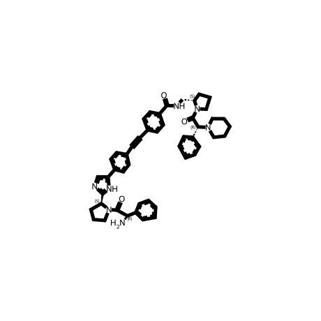 N[C@@H](C(=O)N1CCC[C@H]1c1ncc(-c2ccc(C#Cc3ccc(C(=O)NC[C@@H]4CCCN4C(=O)[C@@H](c4ccccc4)N4CCCCC4)cc3)cc2)[nH]1)c1ccccc1